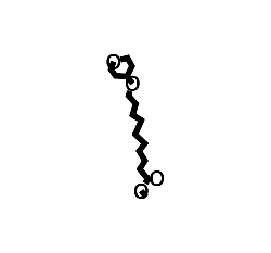 COC(=O)CCCCCCCCCOC1CCOCC1